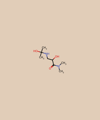 CN(C)C(=O)C(O)CNC(C)(C)O